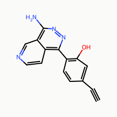 C#Cc1ccc(-c2nnc(N)c3cnccc23)c(O)c1